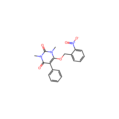 Cn1c(OCc2ccccc2[N+](=O)[O-])c(-c2ccccc2)c(=O)n(C)c1=O